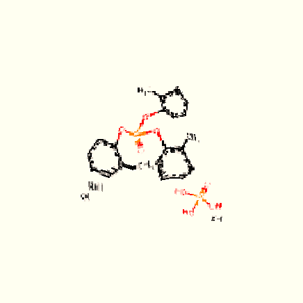 Cc1ccccc1OP(=O)(Oc1ccccc1C)Oc1ccccc1C.O=P(O)(O)O.[KH].[KH].[NaH]